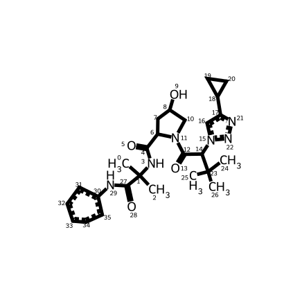 CC(C)(NC(=O)C1CC(O)CN1C(=O)C(n1cc(C2CC2)nn1)C(C)(C)C)C(=O)Nc1ccccc1